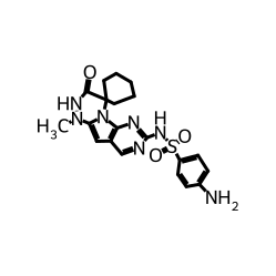 CN1NC(=O)C2(CCCCC2)n2c1cc1cnc(NS(=O)(=O)c3ccc(N)cc3)nc12